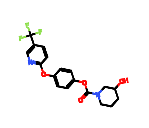 O=C(Oc1ccc(Oc2ccc(C(F)(F)F)cn2)cc1)N1CCCC(O)C1